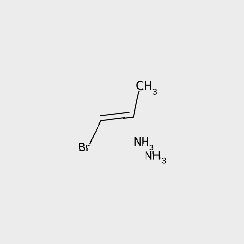 CC=CBr.N.N